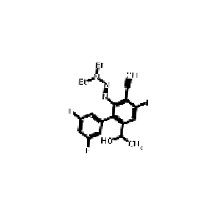 C#Cc1c(I)cc(C(C)O)c(-c2cc(F)cc(F)c2)c1/N=N/N(CC)CC